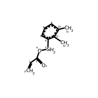 C=CC(=O)O[SiH2]c1cccc(C)c1C